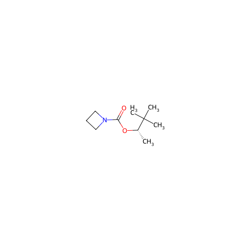 C[C@H](OC(=O)N1CCC1)C(C)(C)C